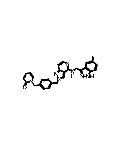 Cc1ccc2[nH]nc(CNc3nccc4nn(Cc5ccc(Cn6ccccc6=O)cc5)cc34)c2c1